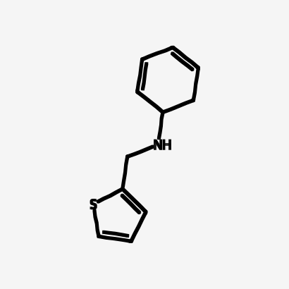 C1=CCC(NCc2cccs2)C=C1